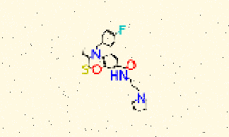 CC=C1C(=S)Oc2cc(C(=O)NCCCN3CCCCC3)ccc2N1Cc1ccc(F)cc1